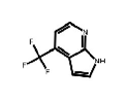 FC(F)(F)c1ccnc2[nH]ccc12